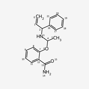 C=CC(NC(C)Oc1ccccc1C(N)=O)c1ccccc1